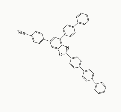 N#Cc1ccc(-c2cc(-c3ccc(-c4ccccc4)cc3)c3nc(-c4ccc(-c5ccc(-c6ccccc6)cc5)cc4)oc3c2)cc1